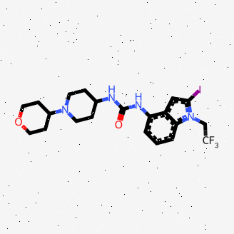 O=C(Nc1cccc2c1cc(I)n2CC(F)(F)F)NC1CCN(C2CCOCC2)CC1